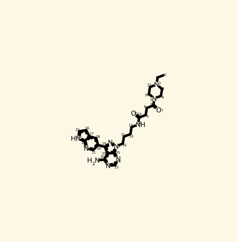 CCN1CCN(C(=O)CCC(=O)NCCCCn2nc(-c3cnc4[nH]ccc4c3)c3c(N)ncnc32)CC1